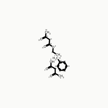 CC(=O)CC(=O)O.CCOC(=O)CC(C)=O.Cc1ccccc1